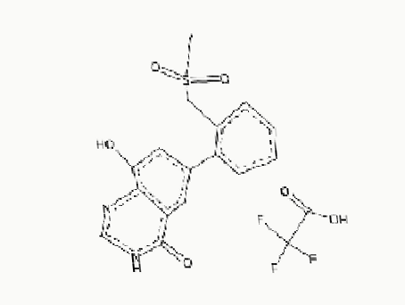 CS(=O)(=O)Cc1ccccc1-c1cc(O)c2nc[nH]c(=O)c2c1.O=C(O)C(F)(F)F